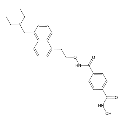 CCN(CC)Cc1cccc2c(CCONC(=O)c3ccc(C(=O)NO)cc3)cccc12